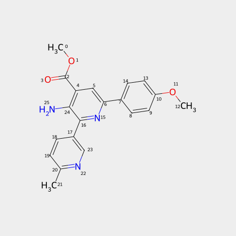 COC(=O)c1cc(-c2ccc(OC)cc2)nc(-c2ccc(C)nc2)c1N